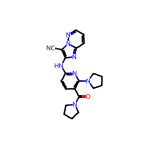 N#Cc1c(Nc2ccc(C(=O)N3CCCC3)c(N3CCCC3)n2)nc2cccnn12